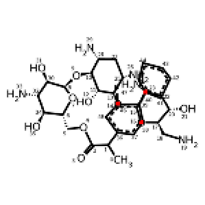 CC(C(=O)OC[C@H]1O[C@H](O[C@@H]2[C@@H](O)[C@H](O[C@H]3O[C@H](CN)[C@@H](O)C[C@H]3N)[C@@H](N)C[C@H]2N)[C@H](O)[C@@H](N)[C@@H]1O)c1ccc(-c2ccccc2)c(F)c1